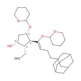 O=CC[C@H]1[C@H](C(=CCCC23CC4CC(CC(C4)C2)C3)OC2CCCCO2)[C@@H](OC2CCCCO2)C[C@H]1O